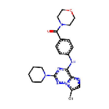 N#Cc1cnc2c(Nc3ccc(C(=O)N4CCOCC4)cc3)nc(N3CCCCC3)nn12